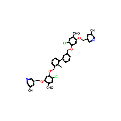 Cc1c(COc2cc(OCc3cncc(C#N)c3)c(C=O)cc2Cl)cccc1-c1cccc(COc2cc(OCc3cncc(C#N)c3)c(C=O)cc2Cl)c1